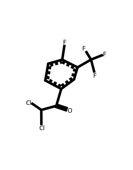 O=C(c1ccc(F)c(C(F)(F)F)c1)C(Cl)Cl